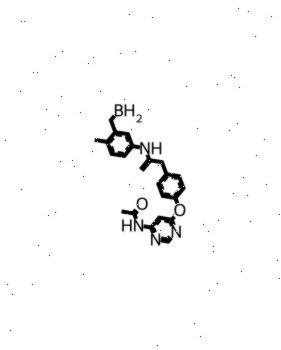 BCc1cc(NC(=C)Cc2ccc(Oc3cc(NC(C)=O)ncn3)cc2)ccc1C